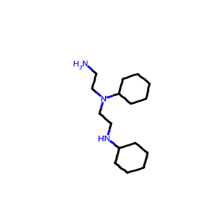 NCCN(CCNC1CCCCC1)C1CCCCC1